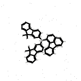 CC1(C)c2ccccc2-c2ccc(N(c3ccc4c(c3)C(C)(C)c3ccccc3-4)c3ccc4cccc5c4c3-c3ccccc3-5)cc21